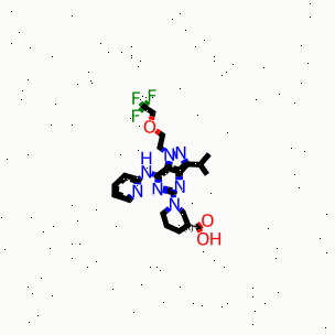 CC(C)c1nn(CCOCC(F)(F)F)c2c(Nc3ccccn3)nc(N3CCC[C@@H](C(=O)O)C3)nc12